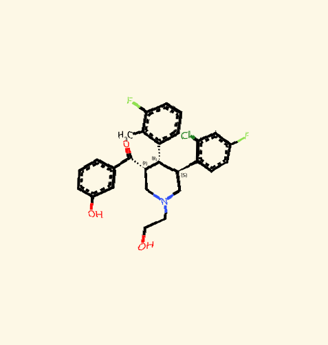 Cc1c(F)cccc1[C@H]1[C@@H](C(=O)c2cccc(O)c2)CN(CCO)C[C@@H]1c1ccc(F)[c]c1Cl